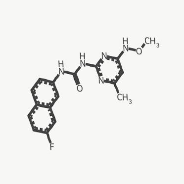 CONc1cc(C)nc(NC(=O)Nc2ccc3ccc(F)cc3c2)n1